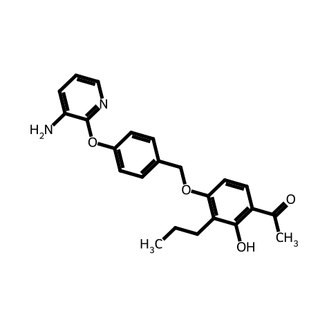 CCCc1c(OCc2ccc(Oc3ncccc3N)cc2)ccc(C(C)=O)c1O